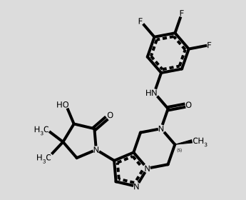 C[C@H]1Cn2ncc(N3CC(C)(C)C(O)C3=O)c2CN1C(=O)Nc1cc(F)c(F)c(F)c1